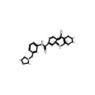 O=C(Nc1cccc(CN2CCCC2)c1)c1ccc2c(Cl)c3c(nc2c1)CCCC3